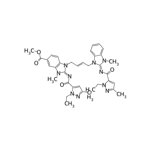 CCn1nc(C)cc1C(=O)/N=c1\n(C)c2ccccc2n1C/C=C/Cn1/c(=N/C(=O)c2cc(C)nn2CC)n(C)c2cc(C(=O)OC)ccc21